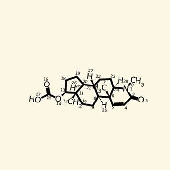 CN1C(=O)C=C[C@]2(C)[C@H]3CC[C@]4(C)[C@@H](OC(=O)O)CC[C@H]4[C@@H]3CC[C@@H]12